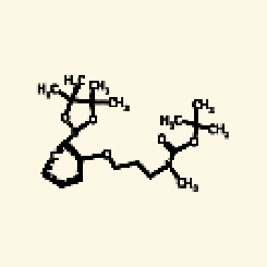 CN(CCCOc1ccccc1B1OC(C)(C)C(C)(C)O1)C(=O)OC(C)(C)C